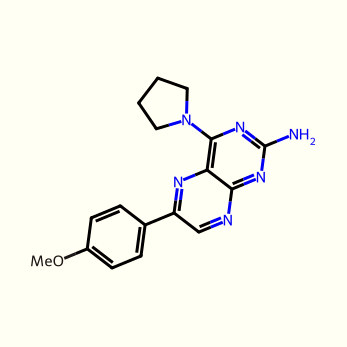 COc1ccc(-c2cnc3nc(N)nc(N4CCCC4)c3n2)cc1